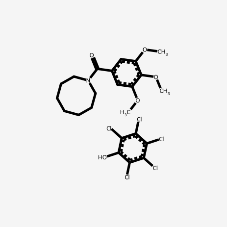 COc1cc(C(=O)N2CCCCCCC2)cc(OC)c1OC.Oc1c(Cl)c(Cl)c(Cl)c(Cl)c1Cl